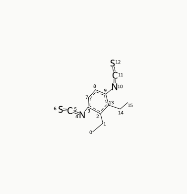 CCc1c(N=C=S)ccc(N=C=S)c1CC